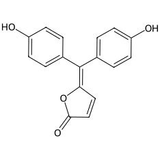 O=C1C=CC(=C(c2ccc(O)cc2)c2ccc(O)cc2)O1